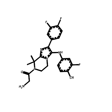 CC1(C)c2nc(-c3ccc(F)c(F)c3)c(Nc3ccc(C#N)c(F)c3)n2CCN1C(=O)CN